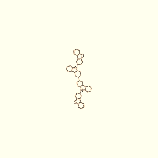 C1=CC(c2ccc3c(c2)c2ccccc2n3-c2ccc3sc4ccccc4c3c2)Cc2c1n(-c1ccc3oc4ccccc4c3c1)c1ccccc21